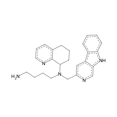 NCCCCN(Cc1cc2c(cn1)[nH]c1ccccc12)C1CCCc2cccnc21